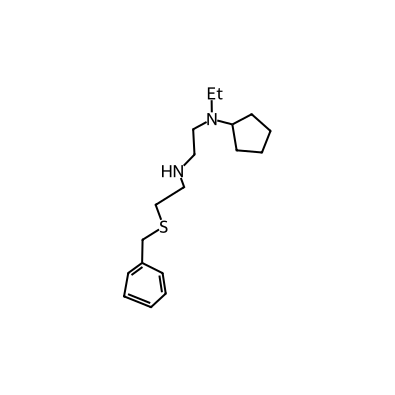 CCN(CCNCCSCc1ccccc1)C1CCCC1